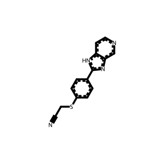 N#CCSc1ccc(-c2nc3cnccc3[nH]2)cc1